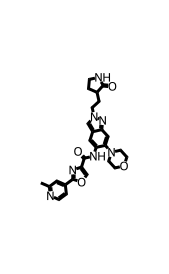 Cc1cc(-c2nc(C(=O)Nc3cc4cn(CCC5CCNC5=O)nc4cc3N3CCOCC3)co2)ccn1